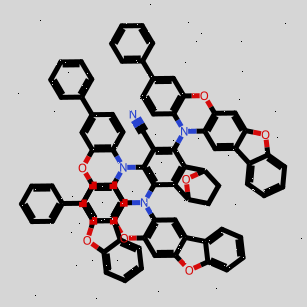 N#Cc1c(N2c3ccc(-c4ccccc4)cc3Oc3cc4oc5ccccc5c4cc32)c2c(c(N3c4ccc(-c5ccccc5)cc4Oc4cc5oc6ccccc6c5cc43)c1N1c3ccc(-c4ccccc4)cc3Oc3cc4oc5ccccc5c4cc31)C1CCC2O1